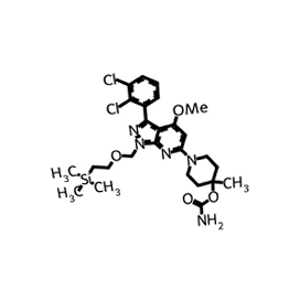 COc1cc(N2CCC(C)(OC(N)=O)CC2)nc2c1c(-c1cccc(Cl)c1Cl)nn2COCC[Si](C)(C)C